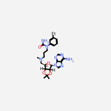 CCc1cccc(N(CCCN(C)C[C@H]2O[C@@H](n3cnc4c(N)ncnc43)[C@@H]3OC(C)(C)O[C@@H]32)C(N)=O)c1